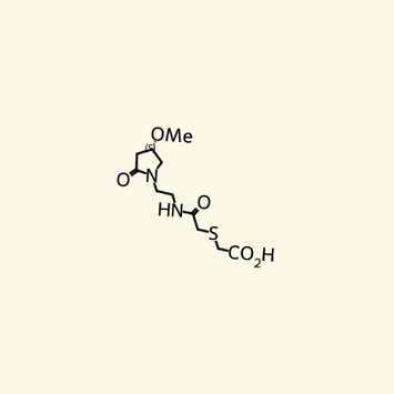 CO[C@H]1CC(=O)N(CCNC(=O)CSCC(=O)O)C1